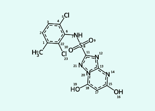 Cc1ccc(Cl)c(NS(=O)(=O)c2nc3nc(O)cc(O)n3n2)c1Cl